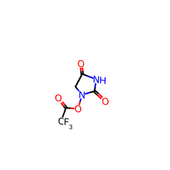 O=C1CN(OC(=O)C(F)(F)F)C(=O)N1